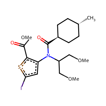 COCC(COC)N(c1cc(I)sc1C(=O)OC)C(=O)[C@H]1CC[C@H](C)CC1